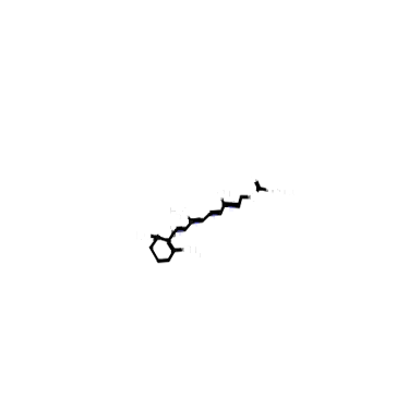 CCCCCC(=O)OC/C=C(C)/C=C/C=C(C)/C=C/C1=C(C)CCCC1(C)C